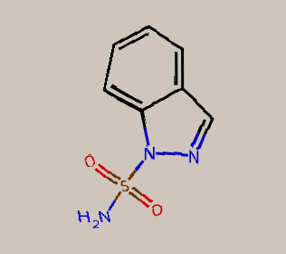 NS(=O)(=O)n1ncc2ccccc21